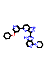 c1cc2[nH]c(-c3n[nH]c4ccc(-c5cncc(OC6CCCCC6)c5)nc34)nc2c(N2CCCCC2)n1